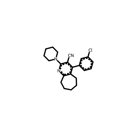 N#Cc1c(N2CCCCC2)nc2c(c1-c1cccc(Cl)c1)CCCCC2